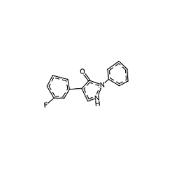 O=c1c(-c2cccc(F)c2)c[nH]n1-c1ccccc1